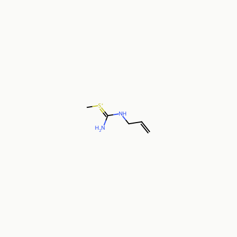 C=CCN/C(N)=[S+]/C